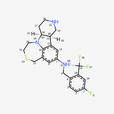 Fc1ccc(CNc2cc3c4c(c2)[C@@H]2CNCC[C@@H]2N4CCSC3)c(C(F)(F)F)c1